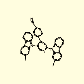 Cc1ccc2c3ccccc3n(-c3cc(-c4ccc(C#N)cc4)c(-n4c5ccccc5c5ccc(C)cc54)cn3)c2c1